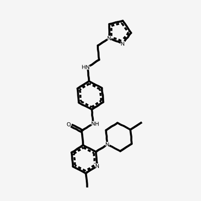 Cc1ccc(C(=O)Nc2ccc(NCCn3cccn3)cc2)c(N2CCC(C)CC2)n1